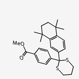 COC(=O)c1ccc(C2(c3ccc4c(c3)C(C)(C)CCC4(C)C)SCCCS2)cc1